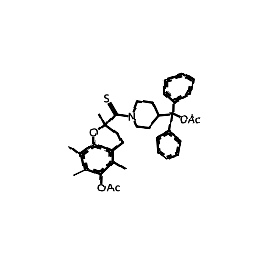 CC(=O)Oc1c(C)c(C)c2c(c1C)CCC(C)(C(=S)N1CCC(C(OC(C)=O)(c3ccccc3)c3ccccc3)CC1)O2